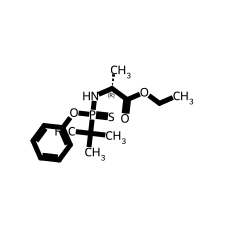 CCOC(=O)[C@@H](C)NP(=S)(Oc1ccccc1)C(C)(C)C